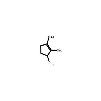 CC(=O)OC1=C(C=O)CCC1C